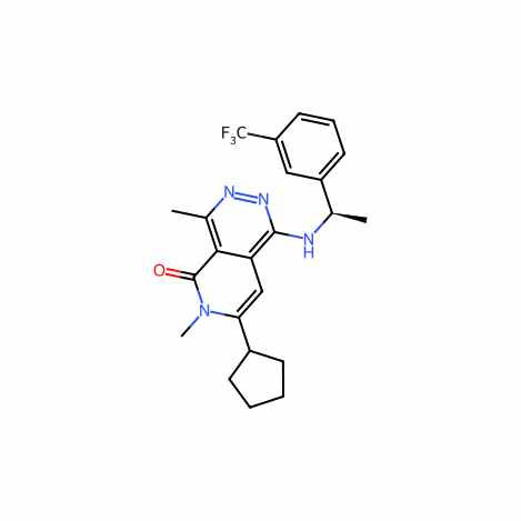 Cc1nnc(N[C@H](C)c2cccc(C(F)(F)F)c2)c2cc(C3CCCC3)n(C)c(=O)c12